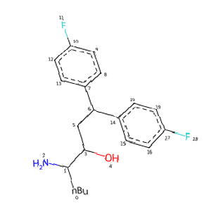 CCCCC(N)C(O)CC(c1ccc(F)cc1)c1ccc(F)cc1